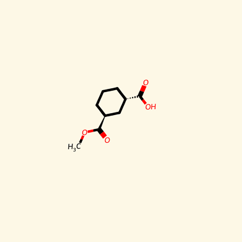 COC(=O)[C@H]1CCC[C@H](C(=O)O)C1